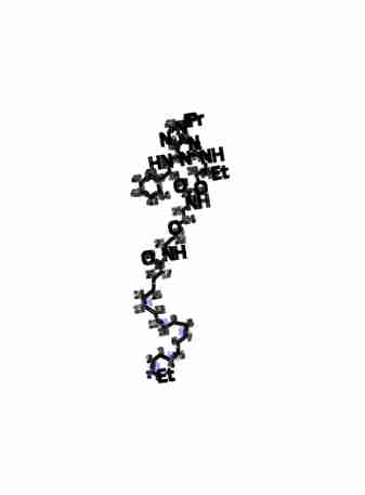 CC/C=C\C/C=C\C/C=C\C/C=C\C/C=C\CCCC(=O)NCCOCCNC(=O)OC[C@@H](CC)Nc1nc(NCc2ccccc2)c2ncn(C(C)C)c2n1